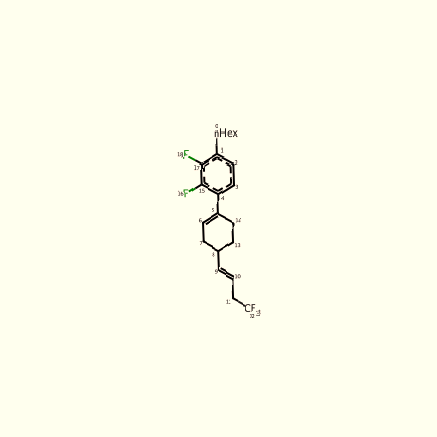 CCCCCCc1ccc(C2=CCC(/C=C/CC(F)(F)F)CC2)c(F)c1F